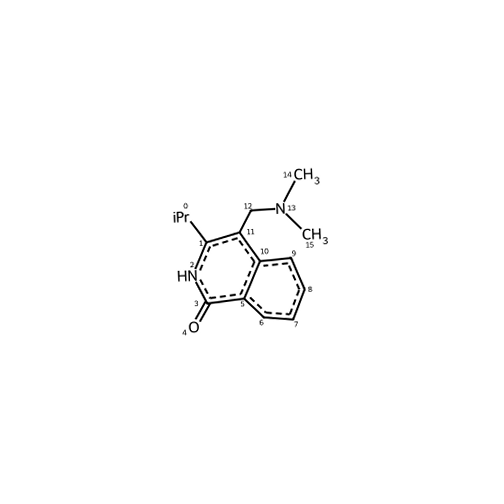 CC(C)c1[nH]c(=O)c2ccccc2c1CN(C)C